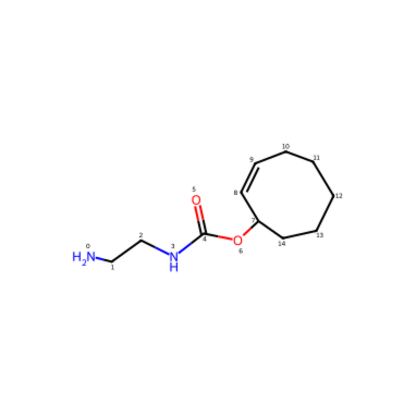 NCCNC(=O)OC1C=CCCCCC1